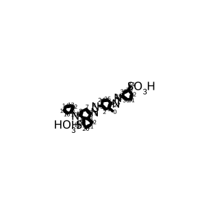 Cc1cc(/N=N/c2ccc(Nc3ccccc3)c3c(S(=O)(=O)O)cccc23)ccc1/N=N/c1cccc(S(=O)(=O)O)c1